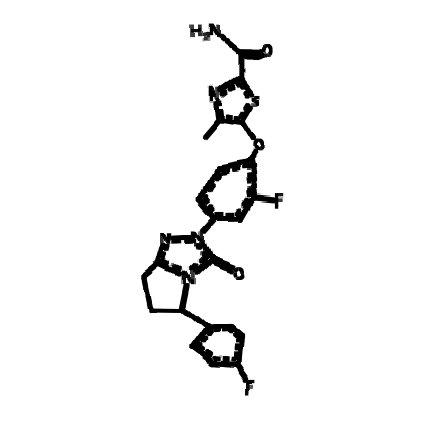 Cc1nc(C(N)=O)sc1Oc1ccc(-n2nc3n(c2=O)C(c2ccc(F)cc2)CC3)cc1F